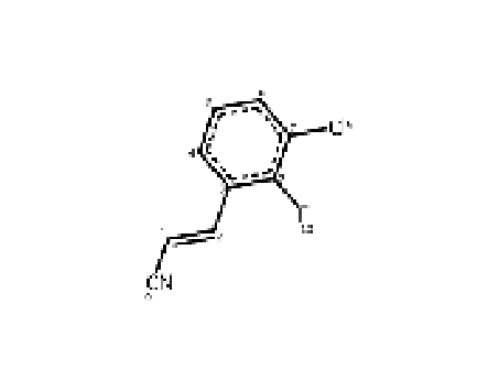 N#CC=Cc1cccc(Cl)c1F